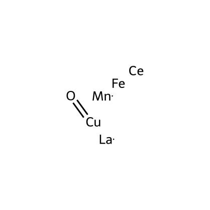 [Ce].[Fe].[La].[Mn].[O]=[Cu]